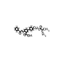 C=C(C)C(=O)OCCOc1ccc(-c2ccc(C=CC(=O)c3ccccc3)c(C(=O)O)c2)cc1